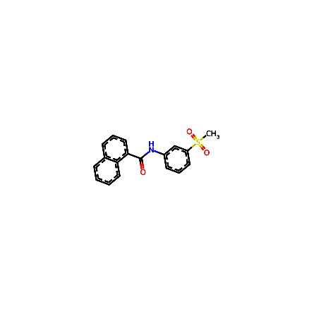 CS(=O)(=O)c1cccc(NC(=O)c2cccc3ccccc23)c1